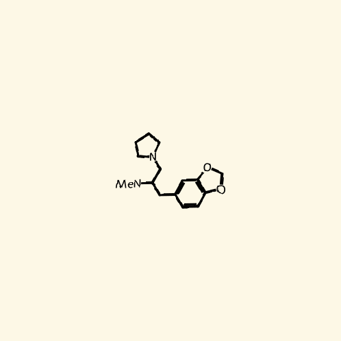 CNC(Cc1ccc2c(c1)OCO2)CN1CCCC1